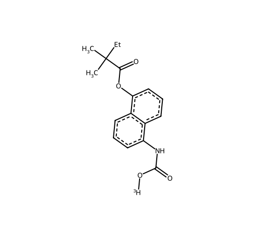 [3H]OC(=O)Nc1cccc2c(OC(=O)C(C)(C)CC)cccc12